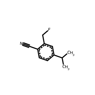 CC(C)c1ccc(C#N)c(CF)c1